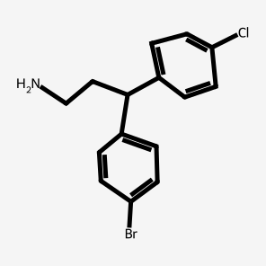 NCCC(c1ccc(Cl)cc1)c1ccc(Br)cc1